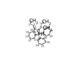 C=CC=[CH][Co]([CH](C)C=C)[PH](c1ccccc1)(c1ccccc1)c1ccccc1